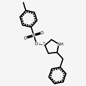 Cc1ccc(S(=O)(=O)O[C@@H]2CNC(Cc3ccccc3)C2)cc1